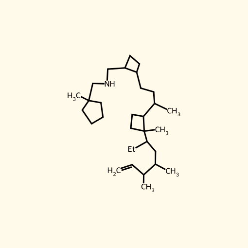 C=CC(C)C(C)CC(CC)C1(C)CCC1C(C)CCC1CCC1CNCC1(C)CCCC1